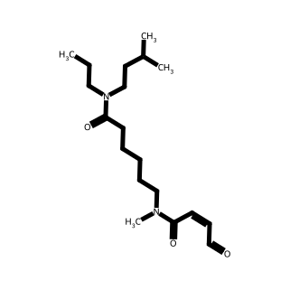 CCCN(CCC(C)C)C(=O)CCCCCN(C)C(=O)/C=C\C=O